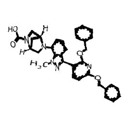 Cn1nc(-c2ccc(OCc3ccccc3)nc2OCc2ccccc2)c2cccc(N3C[C@H]4C[C@@H]3CN4C(=O)O)c21